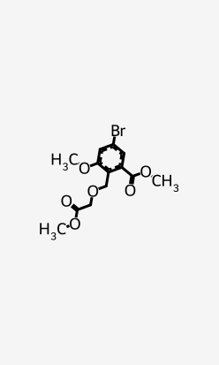 COC(=O)COCc1c(OC)cc(Br)cc1C(=O)OC